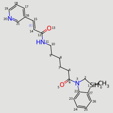 C[SiH]1CN(C(=O)CCCCCNC(=O)/C=C/c2cccnc2)c2ccccc21